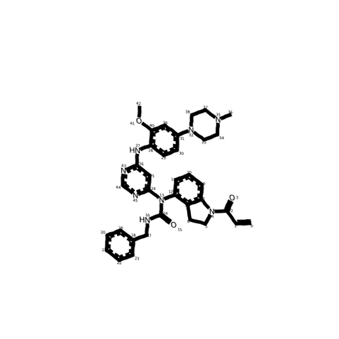 C=CC(=O)N1CCc2c1cccc2N(C(=O)NCc1ccccc1)c1cc(Nc2ccc(N3CCN(C)CC3)cc2OC)ncn1